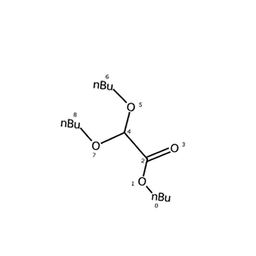 CCCCOC(=O)C(OCCCC)OCCCC